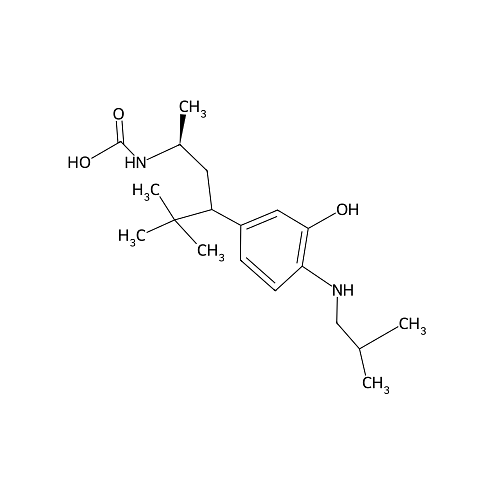 CC(C)CNc1ccc(C(C[C@H](C)NC(=O)O)C(C)(C)C)cc1O